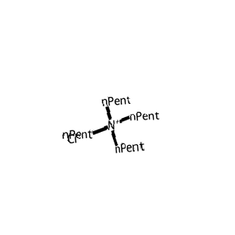 CCCCC[N+](CCCCC)(CCCCC)CCCCC.[Cl-]